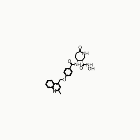 Cc1cc(COc2ccc(C(=O)N[C@@H]3CCC(=O)NC[C@@H]3C(=O)NO)cc2)c2ccccc2n1